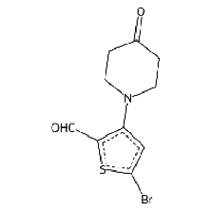 O=Cc1sc(Br)cc1N1CCC(=O)CC1